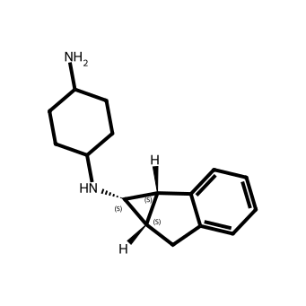 NC1CCC(N[C@H]2[C@H]3Cc4ccccc4[C@H]32)CC1